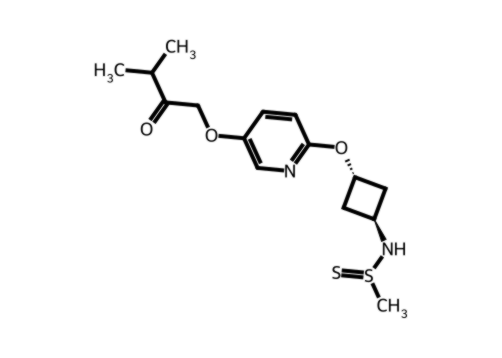 CC(C)C(=O)COc1ccc(O[C@H]2C[C@H](NS(C)=S)C2)nc1